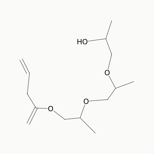 C=CCC(=C)OCC(C)OCC(C)OCC(C)O